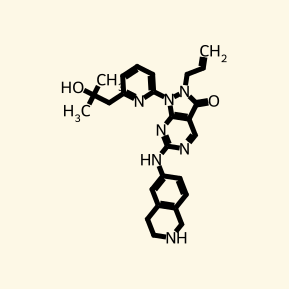 C=CCn1c(=O)c2cnc(Nc3ccc4c(c3)CCNC4)nc2n1-c1cccc(CC(C)(C)O)n1